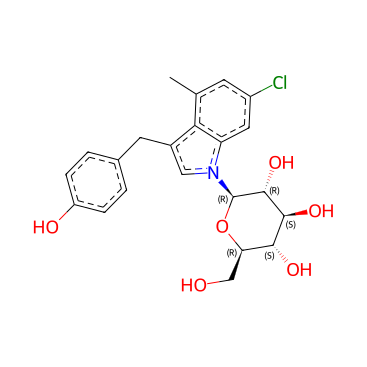 Cc1cc(Cl)cc2c1c(Cc1ccc(O)cc1)cn2[C@@H]1O[C@H](CO)[C@@H](O)[C@H](O)[C@H]1O